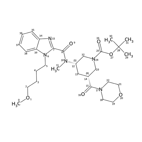 COCCCCn1c(C(=O)N(C)[C@H]2C[C@@H](C(=O)N3CCOCC3)CN(C(=O)OC(C)(C)C)C2)nc2ccccc21